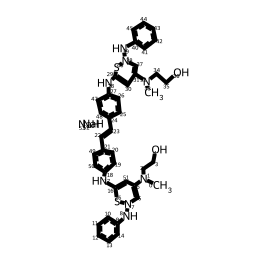 CN(CCO)C1=CN(Nc2ccccc2)SC(Nc2ccc(C=Cc3ccc(NC4=CC(N(C)CCO)=CN(Nc5ccccc5)S4)cc3)cc2)=C1.[NaH].[NaH]